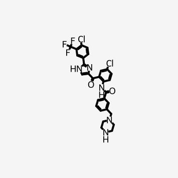 O=C(Nc1ccc(Cl)cc1C(=O)c1c[nH]c(-c2ccc(Cl)c(C(F)(F)F)c2)n1)c1cccc(CN2CCNCC2)c1